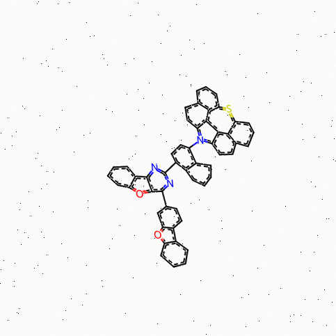 c1ccc2c(c1)oc1cc(-c3nc(-c4ccc(-n5c6ccc7cccc8sc9cccc%10ccc5c(c%109)c6c78)c5ccccc45)nc4c3oc3ccccc34)ccc12